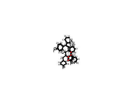 O=C(C(Cc1ccc(F)cc1)c1sc2ncccc2c1-c1ccc(F)cc1)C(Cc1ccc(F)cc1)c1sc2ncccc2c1-c1ccc(F)cc1